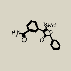 CNC1=C(c2cccc(C(N)=O)c2)C(=O)C(c2ccccc2)O1